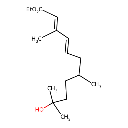 CCOC(=O)/C=C(C)/C=C/CC(C)CCC(C)(C)O